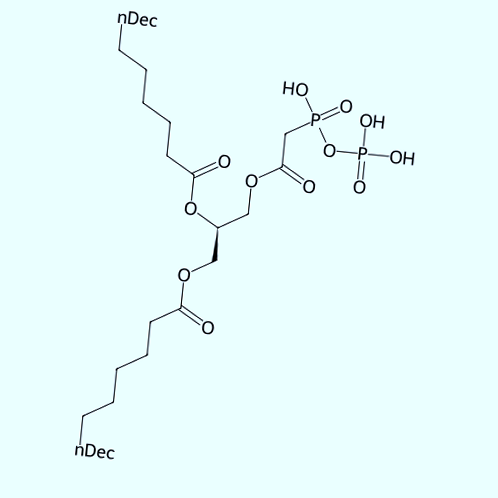 CCCCCCCCCCCCCCCC(=O)OC[C@H](COC(=O)CP(=O)(O)OP(=O)(O)O)OC(=O)CCCCCCCCCCCCCCC